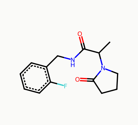 CC(C(=O)NCc1ccccc1F)N1CCCC1=O